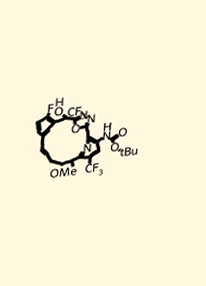 COC1CCC=Cc2ccc(F)c(c2)C(O)(C(F)(F)F)c2nnc(o2)-c2nc1c(C(F)(F)F)cc2NC(=O)OC(C)(C)C